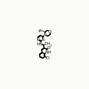 CC(C)[C@H]1COCCN1c1ccnc(N[C@@H](C)c2cc3cccc(Cl)c3[nH]c2=O)n1